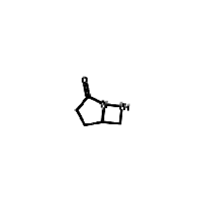 O=C1CCC2CPN12